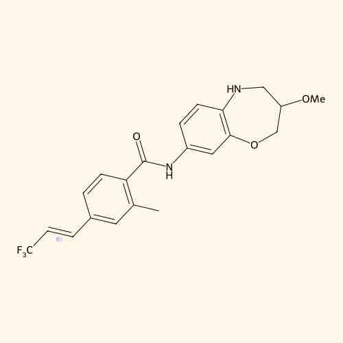 COC1CNc2ccc(NC(=O)c3ccc(/C=C/C(F)(F)F)cc3C)cc2OC1